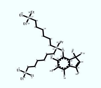 CC[Si](CC)(CC)CCCCCC[Si](CCCCCC[Si](CC)(CC)CC)(Oc1c(F)c(F)c(F)c2c1C(F)(F)[C]=C2F)C(C)C